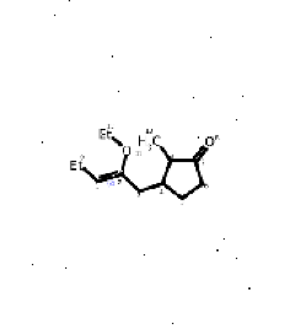 CC/C=C(/CC1CCC(=O)C1C)OCC